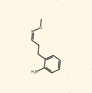 CO/N=C\CCc1ccccc1N